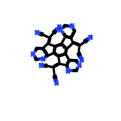 N#CC(C#N)=C1c2cncnc2-c2c1c1c(c3c2C(=C(C#N)C#N)c2cncnc2-3)C(=C(C#N)C#N)c2ncncc2-1